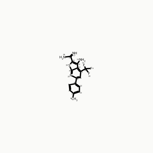 Cc1ccc(-c2cc(C(F)(F)F)c3c(N)c(C(=N)N)sc3n2)cc1